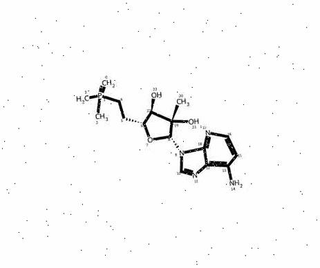 C=P(C)(C)CC[C@H]1O[C@@H](n2cnc3c(N)ccnc32)[C@@](C)(O)[C@@H]1O